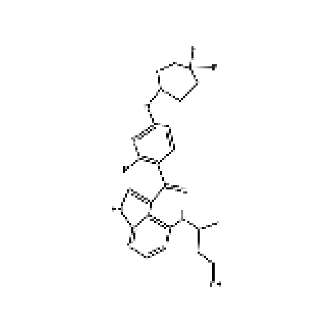 CC(CCO)Nc1ncnc2[nH]cc(C(=O)c3ccc(NC4CCC(F)(F)CC4)nc3F)c12